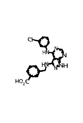 O=C(O)c1cccc(CNc2n[nH]c3ncnc(Nc4cccc(Cl)c4)c23)c1